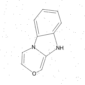 C1=CN2C(=CO1)Nc1ccccc12